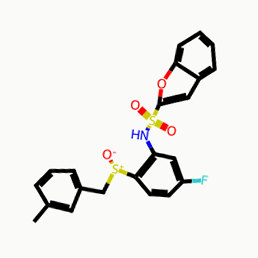 Cc1cccc(C[S+]([O-])c2ccc(F)cc2NS(=O)(=O)c2cc3ccccc3o2)c1